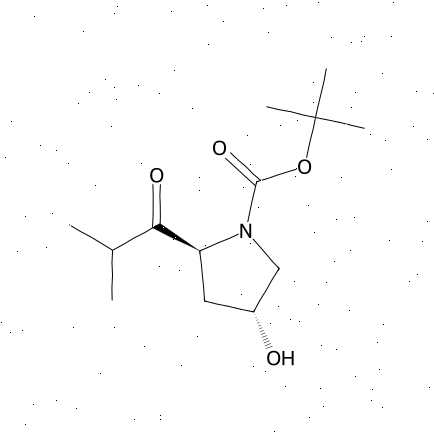 CC(C)C(=O)[C@@H]1C[C@@H](O)CN1C(=O)OC(C)(C)C